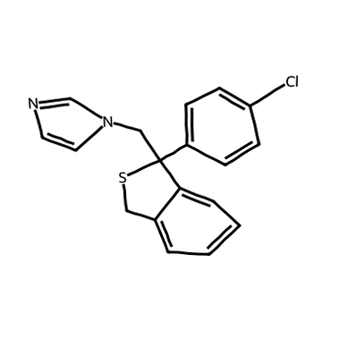 Clc1ccc(C2(Cn3ccnc3)SCc3ccccc32)cc1